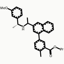 COc1cccc([C@@H](C)NC(C)c2cc(-c3ccc(C)c(C(=O)OC(C)C)c3)c3ccccc3c2)c1